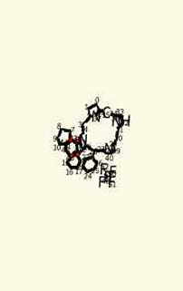 C1=Cc2cc3c(-c4ccccc4)c(-c4ccccc4)c(c(-c4ccccc4)c4nc(cc5ccc(cc1n2)[nH]5)C=C4)n3-c1ccccc1.F[B-](F)(F)F